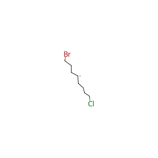 ClCCCC[CH]CCCBr